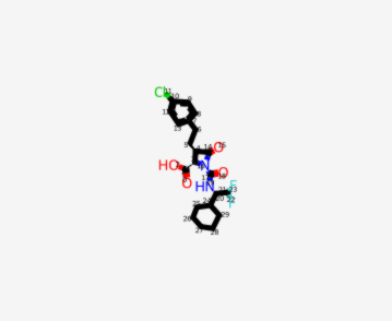 O=C(O)[C@@H]1[C@@H](CCc2ccc(Cl)cc2)C(=O)N1C(=O)N[C@H](C(F)F)C1CCCCC1